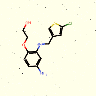 Nc1ccc(OCCO)c(NCc2csc(Cl)c2)c1